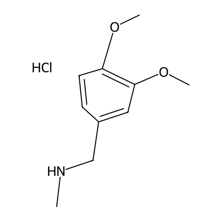 CNCc1ccc(OC)c(OC)c1.Cl